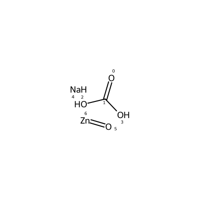 O=C(O)O.[NaH].[O]=[Zn]